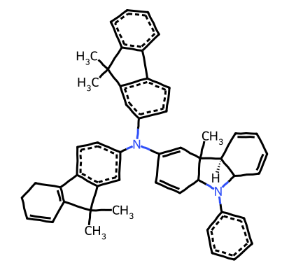 CC1(C)C2=C(CCC=C2)c2ccc(N(C3=CC4(C)C(C=C3)N(c3ccccc3)C3C=CC=C[C@@H]34)c3ccc4c(c3)C(C)(C)c3ccccc3-4)cc21